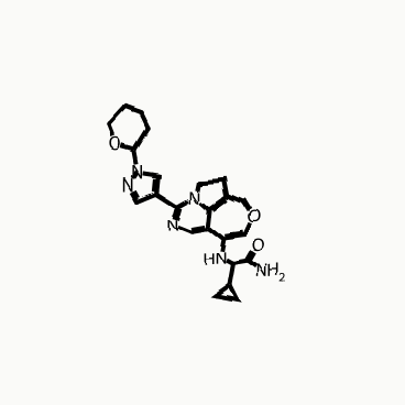 NC(=O)C(NC1=COCC2=C3C1=CN=C(c1cnn(C4CCCCO4)c1)N3CC2)C1CC1